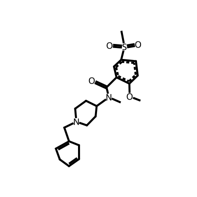 COc1ccc(S(C)(=O)=O)cc1C(=O)N(C)C1CCN(CC2=CCC=CC2)CC1